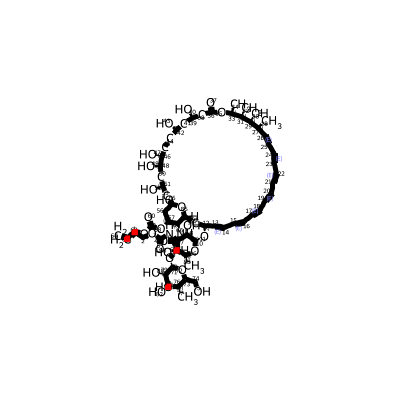 C=CCOC(=O)N[C@@H]1[C@H](O)[C@H](O[C@H]2/C=C/C=C/C=C/C=C/C=C/C=C/C=C/[C@H](C)[C@@H](O)[C@@H](C)[C@H](C)OC(=O)C[C@H](O)C[C@H](O)CC[C@@H](O)[C@H](O)C[C@H](O)C[C@]3(O)C[C@H](OC(=O)OCC=C)[C@@H](NC(=O)NO[C@H](OC(CO)[C@H](C)O)[C@@H](O)CO)[C@H](C2)O3)O[C@H](C)[C@H]1O